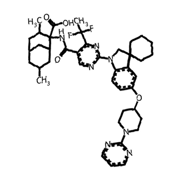 CC1CC2CC(C)C(NC(=O)c3cnc(N4CC5(CCCCC5)c5cc(OC6CCN(c7ncccn7)CC6)ccc54)nc3C(C)(F)F)(C(=O)O)C(C1)C2